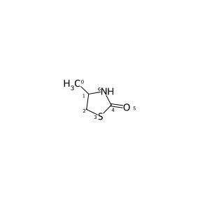 CC1CSC(=O)N1